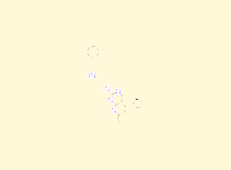 O=c1cc(-c2ccsc2)c2cnc(N3CCC(NCCc4ccccc4)CC3)nc2n1C1CCCC1